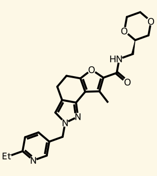 CCc1ccc(Cn2cc3c(n2)-c2c(oc(C(=O)NC[C@@H]4COCCO4)c2C)CC3)cn1